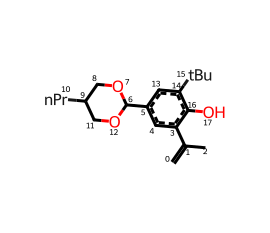 C=C(C)c1cc(C2OCC(CCC)CO2)cc(C(C)(C)C)c1O